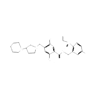 CCS(=O)(=O)c1ccc(Cl)cc1CNC(=O)c1cc(Br)c(CN2CCC(N3CCCCC3)C2)cc1N